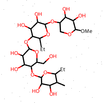 CCC1OC(OC2C(CO)OC(OC3C(CC)OC(OC4COC(OC)C(O)C4O)C(O)C3O)C(O)C2O)C(O)C(O)C1C